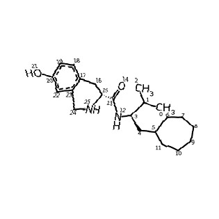 CC(C)[C@@H](CC1CCCCCC1)NC(=O)[C@H]1Cc2ccc(O)cc2CN1